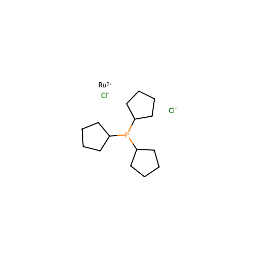 C1CCC(P(C2CCCC2)C2CCCC2)C1.[Cl-].[Cl-].[Ru+2]